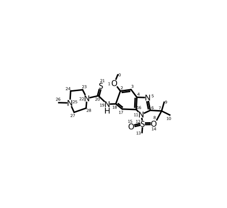 COc1cc2nc(C(C)(C)C)n(S(C)(=O)=O)c2cc1NC(=S)N1CCN(C)CC1